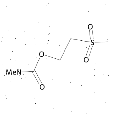 CNC(=O)OCCS(C)(=O)=O